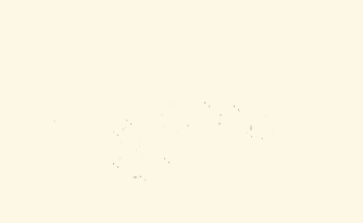 ClB(Cl)Cl.Nc1ncnc2c1c(-c1ccc(NC(=O)Nc3cc(C4(C(F)(F)F)CC4)on3)c(F)c1)nn2C1CC(O)C1